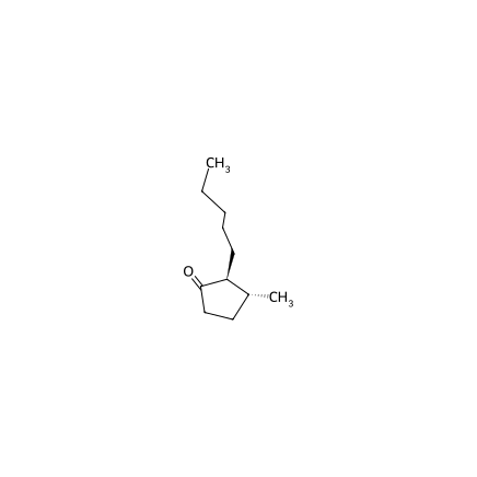 CCCCC[C@@H]1C(=O)CC[C@H]1C